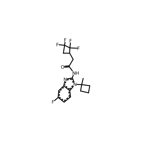 CC1(n2c(NC(=O)CC3CC(F)(F)C3(F)F)nc3cc(F)ccc32)CCC1